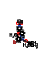 CC(OCC1(c2ccccc2)CCN(C(=O)OC(C)(C)C)CC1)c1cc(Br)cc2c1ncn2COCC[Si](C)(C)C